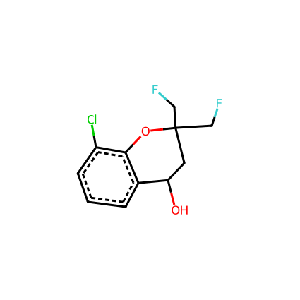 OC1CC(CF)(CF)Oc2c(Cl)cccc21